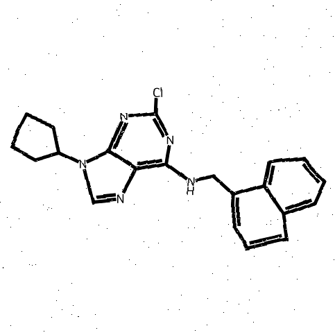 Clc1nc(NCc2cccc3ccccc23)c2ncn(C3CCCC3)c2n1